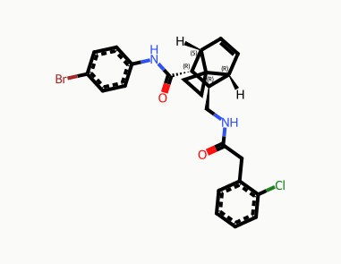 O=C(Cc1ccccc1Cl)NC[C@H]1[C@H](C(=O)Nc2ccc(Br)cc2)[C@@H]2C=C[C@H]1C21CC1